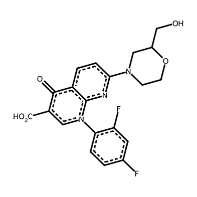 O=C(O)c1cn(-c2ccc(F)cc2F)c2nc(N3CCOC(CO)C3)ccc2c1=O